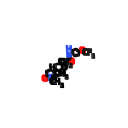 CN1C(=O)C=C[C@]2(C)[C@H]3CC[C@]4(C)[C@@H](CC(=O)Nc5ccc(OC(F)(F)F)cc5)CC[C@H]4[C@@H]3CC[C@@H]12